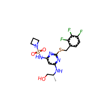 C[C@H](CO)Nc1cc(NS(=O)(=O)N2CCC2)nc(SCc2ccc(F)c(F)c2F)n1